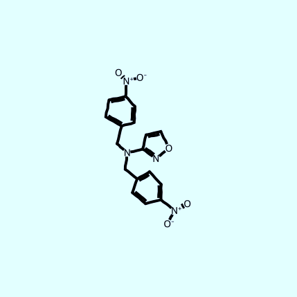 O=[N+]([O-])c1ccc(CN(Cc2ccc([N+](=O)[O-])cc2)c2ccon2)cc1